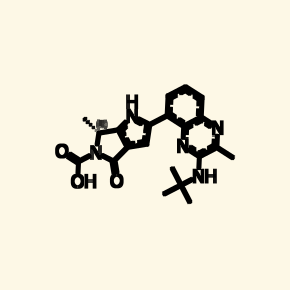 Cc1nc2cccc(-c3cc4c([nH]3)[C@@H](C)N(C(=O)O)C4=O)c2nc1NC(C)(C)C